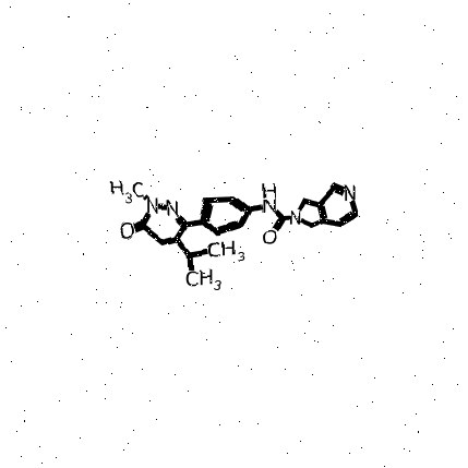 CC(C)C1CC(=O)N(C)N=C1c1ccc(NC(=O)N2Cc3ccncc3C2)cc1